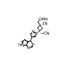 COC[C@]1(C#N)C[C@](CC#N)(n2cc(-c3ncnc4[nH]ccc34)cn2)C1